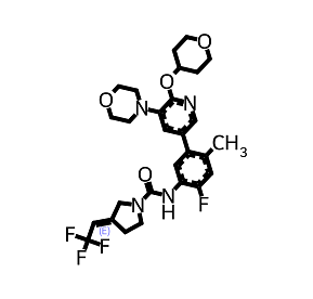 Cc1cc(F)c(NC(=O)N2CC/C(=C\C(F)(F)F)C2)cc1-c1cnc(OC2CCOCC2)c(N2CCOCC2)c1